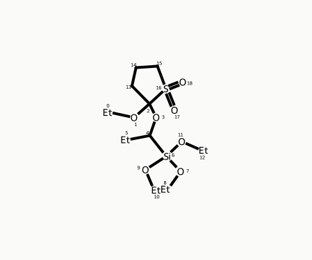 CCOC1(OC(CC)[Si](OCC)(OCC)OCC)CCCS1(=O)=O